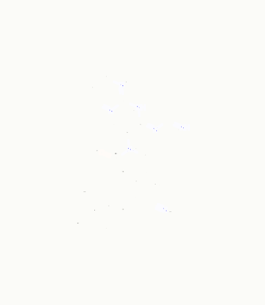 CC(/C(=N/C=N)Nc1ncccn1)N(CC1CC1)C(=O)c1cc(C#N)cc(C(F)(F)F)c1